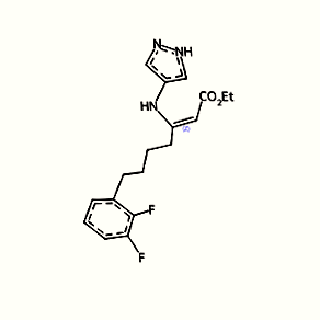 CCOC(=O)/C=C(/CCCCc1cccc(F)c1F)Nc1cn[nH]c1